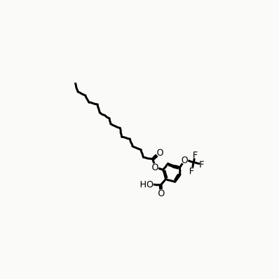 CCCCCCCCCCCCCCC(=O)Oc1cc(OC(F)(F)F)ccc1C(=O)O